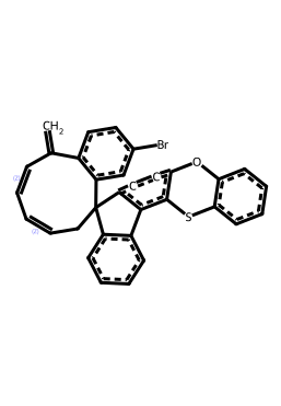 C=C1/C=C\C=C/CC2(c3cc(Br)ccc31)c1ccccc1-c1c2ccc2c1Sc1ccccc1O2